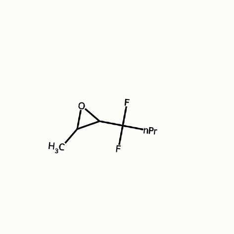 CCCC(F)(F)C1OC1C